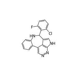 Fc1cccc(Cl)c1C1Nc2ccccc2-c2cnnc3[nH]cc1c23